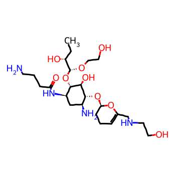 CC[C@@H](O)[C@H](OCCO)O[C@@H]1[C@@H](O)[C@H](O[C@@H]2CCC=C(CNCCO)O2)[C@@H](N)C[C@H]1NC(=O)CCCN